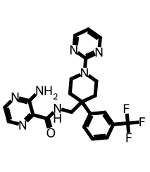 Nc1nccnc1C(=O)NCC1(c2cccc(C(F)(F)F)c2)CCN(c2ncccn2)CC1